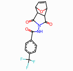 O=C(NN1C(=O)C2C3C=CC(O3)C2C1=O)c1ccc(C(F)(F)F)cc1